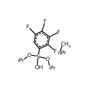 CC(C)O[Si](O)(OC(C)C)c1cc(F)c(F)c(F)c1F.CCCC